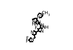 CN1CCN(c2ccnc3[nH]c(-c4n[nH]c5ncc(-c6cncc(CN7CCC(F)(F)C7)c6)c(F)c45)nc23)CC1